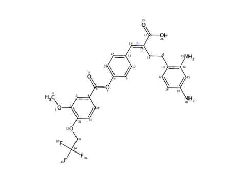 COc1cc(C(=O)Oc2ccc(/C=C(\CCc3ccc(N)cc3N)C(=O)O)cc2)ccc1OCC(F)(F)F